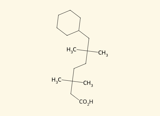 CC(C)(CCC(C)(C)CC1CCCCC1)CC(=O)O